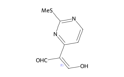 CSc1nccc(/C(C=O)=C\O)n1